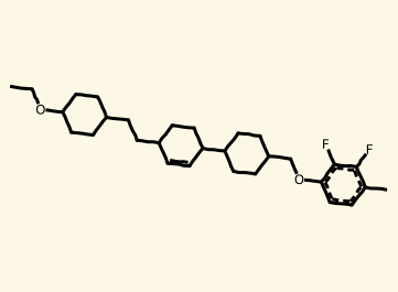 CCOC1CCC(CCC2C=CC(C3CCC(COc4ccc(C)c(F)c4F)CC3)CC2)CC1